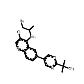 CC(C)CC(C)Nc1c(Cl)cnc2ccc(-c3cnc(C(C)(C)O)nc3)cc12